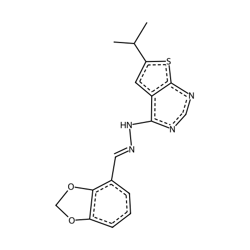 CC(C)c1cc2c(NN=Cc3cccc4c3OCO4)ncnc2s1